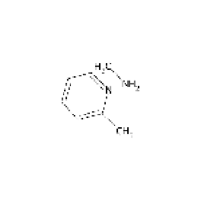 CN.Cc1ccccn1